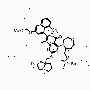 COCOc1cc(-c2oc(=O)c3c(N4CCOCCC4CO[Si](C)(C)C(C)(C)C)nc(OC[C@@]45CCCN4C[C@H](F)C5)nc3c2C)c2c(C#N)cccc2c1